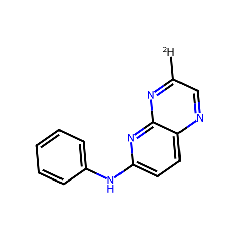 [2H]c1cnc2ccc(Nc3ccccc3)nc2n1